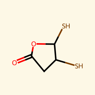 O=C1CC(S)C(S)O1